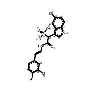 O=C(N/C=C/c1ccc(F)c(Cl)c1)C(c1csc2ccc(Cl)cc12)P(=O)(O)O